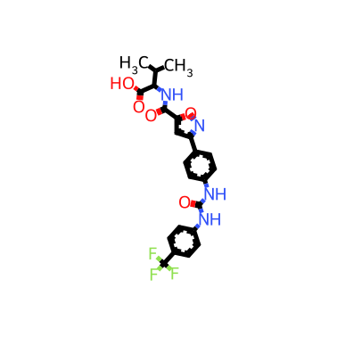 CC(C)C(NC(=O)c1cc(-c2ccc(NC(=O)Nc3ccc(C(F)(F)F)cc3)cc2)no1)C(=O)O